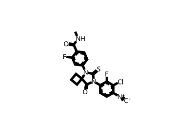 [C-]#[N+]c1ccc(N2C(=O)C3(CCC3)N(c3ccc(C(=O)NC)c(F)c3)C2=S)c(F)c1Cl